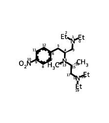 CCN(CC)C[C@H](Cc1ccc([N+](=O)[O-])cc1)N(C)[C@H](C)CN(CC)CC